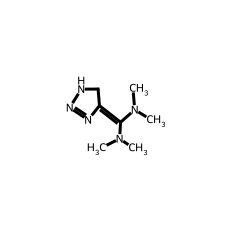 CN(C)C(=C1CNN=N1)N(C)C